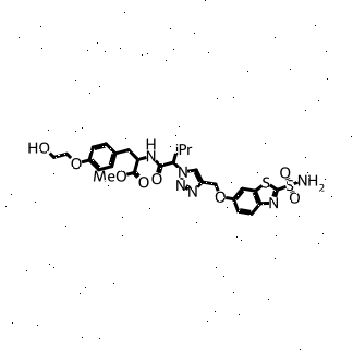 COC(=O)C(Cc1ccc(OCCO)cc1)NC(=O)C(C(C)C)n1cc(COc2ccc3nc(S(N)(=O)=O)sc3c2)nn1